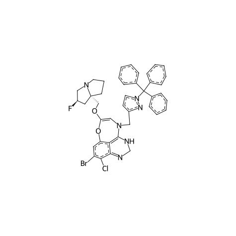 F[C@H]1CN2CCC[C@@]2(COC2=CN(Cc3ccn(C(c4ccccc4)(c4ccccc4)c4ccccc4)n3)C3=c4c(cc(Br)c(Cl)c4=NCN3)O2)C1